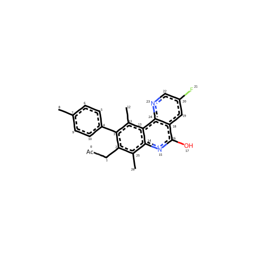 CC(=O)Cc1c(-c2ccc(C)cc2)c(C)c2c(nc(O)c3cc(F)cnc32)c1C